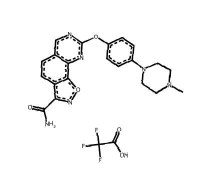 CN1CCN(c2ccc(Oc3ncc4ccc5c(C(N)=O)noc5c4n3)cc2)CC1.O=C(O)C(F)(F)F